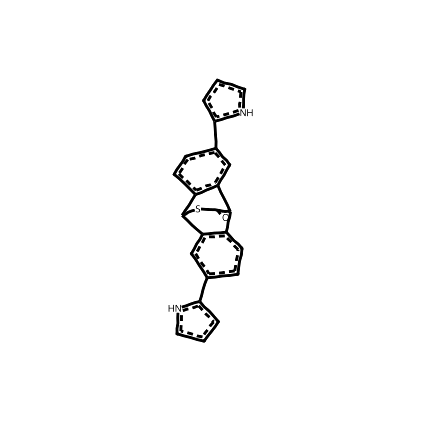 O=C1SC2c3cc(-c4ccc[nH]4)ccc3C1c1cc(-c3ccc[nH]3)ccc12